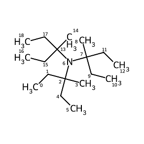 CCC(C)(CC)N(C(C)(CC)CC)C(C)(CC)CC